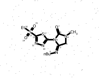 CCCCN=C1CN(C)C(=O)N1c1nnc(S(=O)(=O)CC)s1